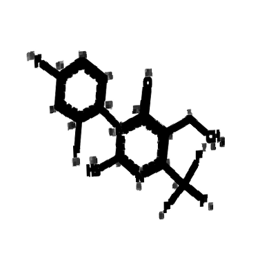 CCc1c(C(F)(F)F)nc(S)n(-c2ccc(F)cc2F)c1=O